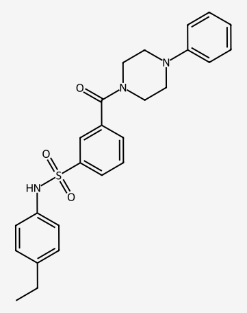 CCc1ccc(NS(=O)(=O)c2cccc(C(=O)N3CCN(c4ccccc4)CC3)c2)cc1